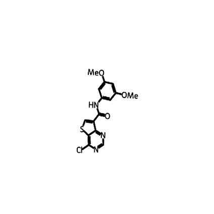 COc1cc(NC(=O)c2csc3c(Cl)ncnc23)cc(OC)c1